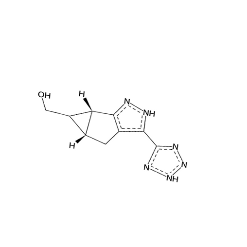 OCC1[C@H]2Cc3c(n[nH]c3-c3nn[nH]n3)[C@@H]12